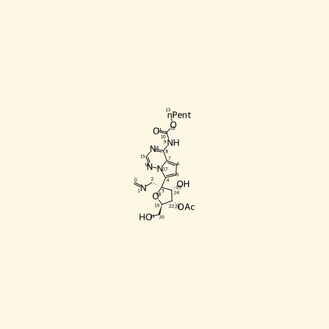 C=NC[C@@]1(c2ccc3c(NC(=O)OCCCCC)ncnn23)O[C@H](CO)[C@@H](OC(C)=O)[C@H]1O